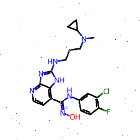 CN(CCCNc1nc2nccc(/C(=N/O)Nc3ccc(F)c(Cl)c3)c2[nH]1)C1CC1